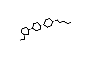 CCCCC[C@H]1CC[C@H](C2CCC([C@@H]3CCC[C@H](CC)C3)CC2)CC1